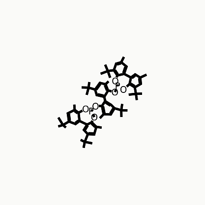 Cc1cc(C(C)(C)C)c2op(Oc3c(C)cc(C(C)(C)C)cc3-c3cc(C(C)(C)C)cc(C)c3Op3oc4c(C)cc(C(C)(C)C)cc4c4cc(C(C)(C)C)cc(C)c4o3)oc3c(C(C)(C)C)cc(C)cc3c2c1